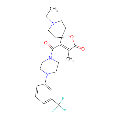 CCN1CCC2(CC1)OC(=O)C(C)=C2C(=O)N1CCN(c2cccc(C(F)(F)F)c2)CC1